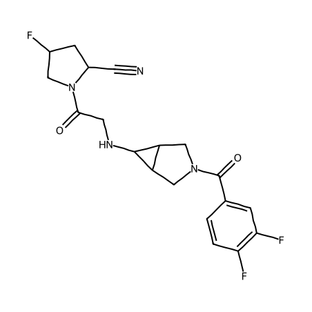 N#CC1CC(F)CN1C(=O)CNC1C2CN(C(=O)c3ccc(F)c(F)c3)CC21